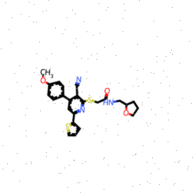 COc1ccc(-c2cc(-c3cccs3)nc(SCC(=O)NCC3CCCO3)c2C#N)cc1